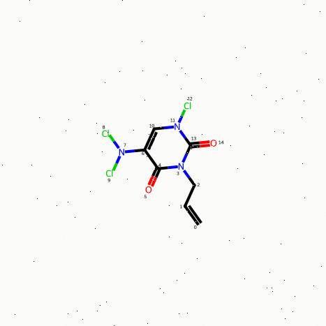 C=CCn1c(=O)c(N(Cl)Cl)cn(Cl)c1=O